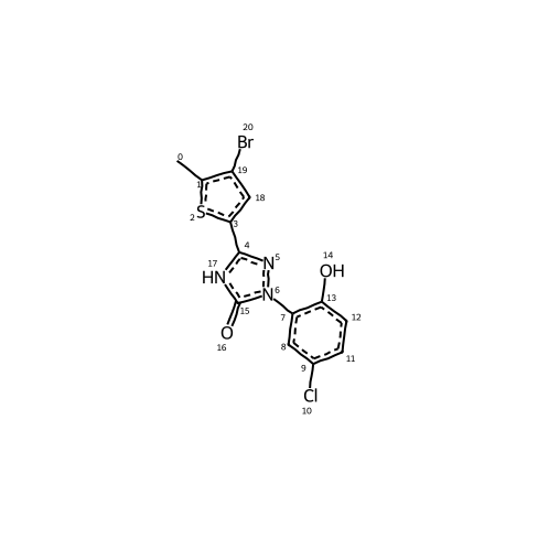 Cc1sc(-c2nn(-c3cc(Cl)ccc3O)c(=O)[nH]2)cc1Br